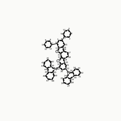 c1ccc(-c2cc(-c3ccccc3)c3oc4c(ccc5c6cc(-n7c8ccccc8c8ccccc87)cc(-n7c8ccccc8c8ccccc87)c6oc54)c3c2)cc1